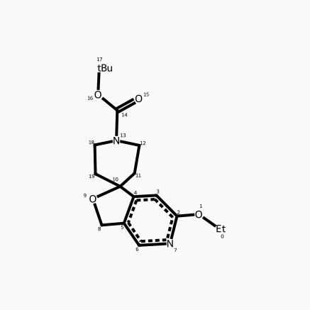 CCOc1cc2c(cn1)COC21CCN(C(=O)OC(C)(C)C)CC1